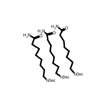 CCCCCCCCCCCCCCCCCC(N)=O.CCCCCCCCCCCCCCCCCC(N)=O.CCCCCCCCCCCCCCCCCC(N)=O